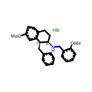 Br.COc1ccc2c(c1)[C@H](Cc1ccccc1)[C@H](NCc1ccccc1OC)CC2